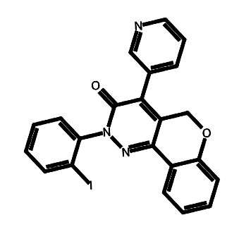 O=c1c(-c2cccnc2)c2c(nn1-c1ccccc1I)-c1ccccc1OC2